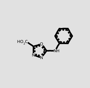 O=C(O)c1nnc(Nc2ccccc2)o1